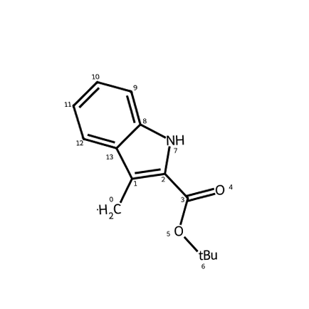 [CH2]c1c(C(=O)OC(C)(C)C)[nH]c2ccccc12